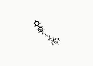 CC(C)(C)OC(=O)COCCC12CCC(c3ccccc3)(CC1)CO2